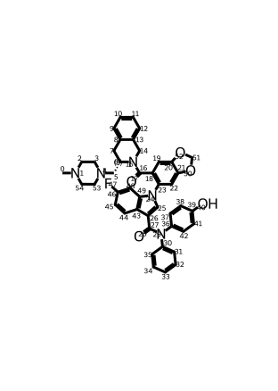 CN1CCN(C[C@@H]2Cc3ccccc3CN2C(=O)c2cc3c(cc2-n2cc(C(=O)N(c4ccccc4)c4ccc(O)cc4)c4ccc(F)cc42)OCO3)CC1